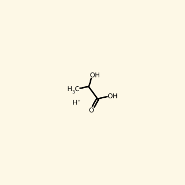 CC(O)C(=O)O.[H+]